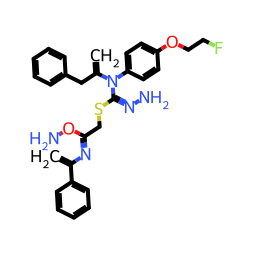 C=C(/N=C(/CS/C(=N/N)N(C(=C)Cc1ccccc1)c1ccc(OCCF)cc1)ON)c1ccccc1